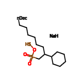 CCCCCCCCCCCCCCCCC(CS(=O)(=O)OS)C1CCCCC1.[NaH]